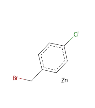 Clc1ccc(CBr)cc1.[Zn]